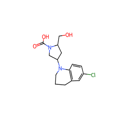 O=C(O)N1CC(N2CCCc3cc(Cl)ccc32)CC1CO